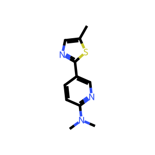 Cc1cnc(-c2ccc(N(C)C)nc2)s1